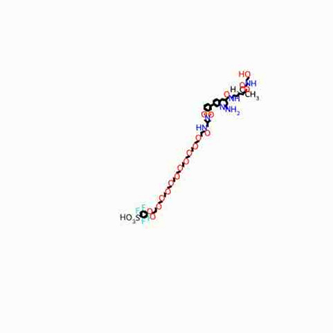 CC(C)(CCCCNC(=O)C1=Cc2ccc(-c3cccc(S(=O)(=O)N4CC(CNC(=O)CCOCCOCCOCCOCCOCCOCCOCCOCCOCCOCCC(=O)Oc5c(F)c(F)c(S(=O)(=O)O)c(F)c5F)C4)c3)cc2N=C(N)C1)OC(=O)NCCO